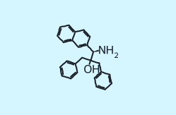 N[C@H](c1ccc2ccccc2c1)C(O)(Cc1ccccc1)Cc1ccccc1